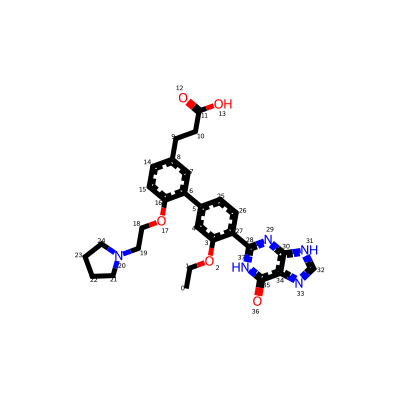 CCOc1cc(-c2cc(CCC(=O)O)ccc2OCCN2CCCC2)ccc1-c1nc2[nH]cnc2c(=O)[nH]1